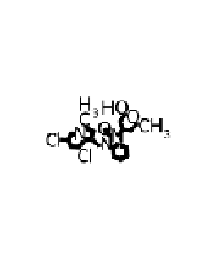 CCCC(CC(=O)O)n1c(=O)n(Cc2cc(C)n3cc(Cl)cc(Cl)c23)c2ccccc21